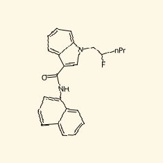 CCCC(F)Cn1cc(C(=O)Nc2cccc3ccccc23)c2ccccc21